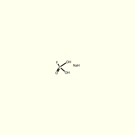 O=P(O)(O)F.[NaH]